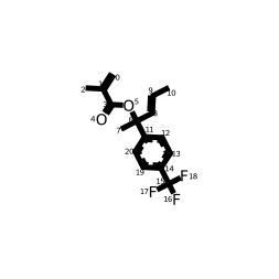 C=C(C)C(=O)OC(C)(/C=C/C)c1ccc(C(F)(F)F)cc1